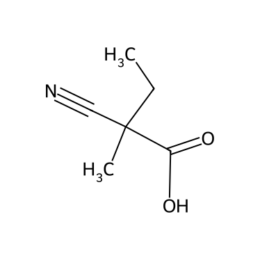 CCC(C)(C#N)C(=O)O